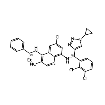 CC[C@@H](Nc1c(C#N)cnc2c(N[C@H](c3cn(C4CC4)nn3)c3cccc(Cl)c3Cl)cc(Cl)cc12)c1ccccc1